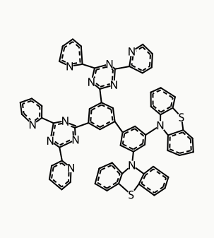 c1ccc(-c2nc(-c3cc(-c4cc(N5c6ccccc6Sc6ccccc65)cc(N5c6ccccc6Sc6ccccc65)c4)cc(-c4nc(-c5ccccn5)nc(-c5ccccn5)n4)c3)nc(-c3ccccn3)n2)nc1